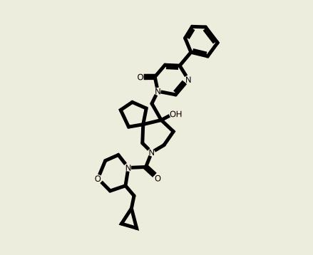 O=C(N1CCC(O)(Cn2cnc(-c3ccccc3)cc2=O)C2(CCCC2)C1)N1CCOCC1CC1CC1